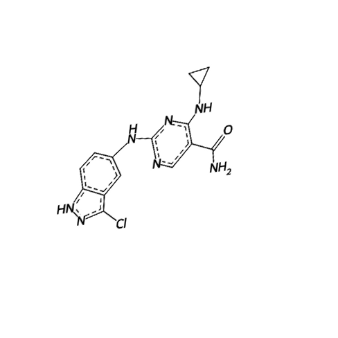 NC(=O)c1cnc(Nc2ccc3[nH]nc(Cl)c3c2)nc1NC1CC1